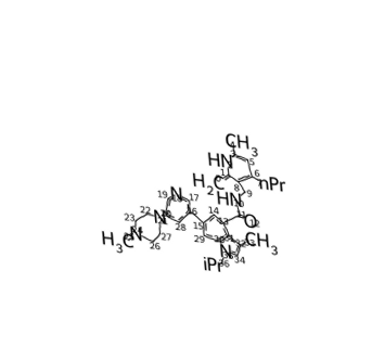 C=C1NC(C)=CC(CCC)=C1CNC(=O)c1cc(-c2cncc(N3CCN(C)CC3)c2)cc2c1c(C)cn2C(C)C